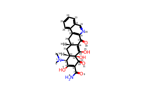 CN(C)[C@@H]1C(O)=C(C(N)=O)C(=O)[C@@]2(O)C(O)=C3C(=O)c4ncc5ccccc5c4C[C@H]3C[C@@H]12